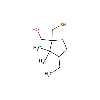 CCC1CCC(CO)(CS)C1(C)C